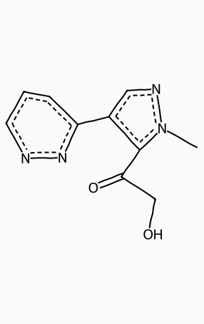 Cn1ncc(-c2cccnn2)c1C(=O)CO